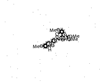 COCC(COC)N(C)C(=O)/C(=C\N(C=O)CC(=O)N1CCC(N2CCc3cc(OC)ccc3NC2=O)CC1)c1cccc(OC)c1Cl